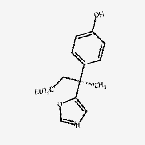 CCOC(=O)C[C@@](C)(c1ccc(O)cc1)c1cnco1